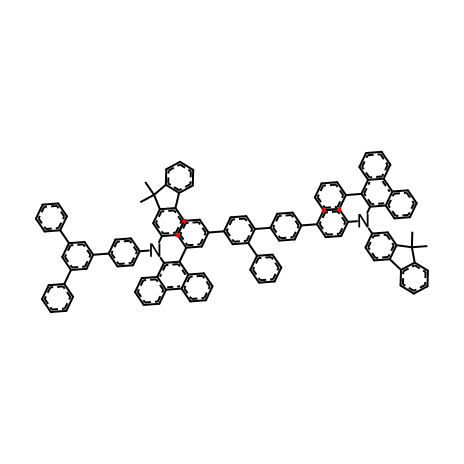 CC1(C)c2ccccc2-c2ccc(N(c3ccc(-c4ccc(-c5ccc(-c6cccc(-c7c(N(c8ccc(-c9cc(-c%10ccccc%10)cc(-c%10ccccc%10)c9)cc8)c8ccc9c(c8)C(C)(C)c8ccccc8-9)c8ccccc8c8ccccc78)c6)cc5-c5ccccc5)cc4)cc3)c3c(-c4ccccc4)c4ccccc4c4ccccc34)cc21